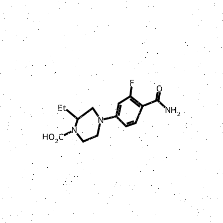 CCC1CN(c2ccc(C(N)=O)c(F)c2)CCN1C(=O)O